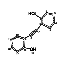 Oc1ccccc1C#Cc1ccccc1O